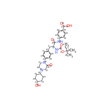 CC(C)(C)OC(=O)NC(Cc1ccc(N2CCN(C3CCC(O)CC3)CC2=O)cc1)C(=O)Nc1ccc(C(=O)O)cc1